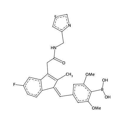 COc1cc(C=C2C(C)=C(CC(=O)NCc3cscn3)c3cc(F)ccc32)cc(OC)c1B(O)O